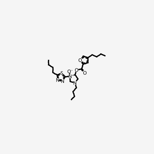 CCCCc1coc(C(=O)OC2CN(CCCC)C[N+]2([O-])c2nnc(CCCC)s2)c1